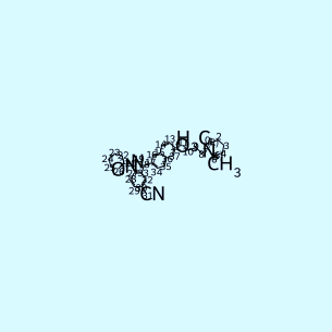 C[C@@H]1CCC[C@H](C)N1CCCOc1ccc2cc(-c3nn(C4CCCCO4)c4ccc(C#N)cc34)ccc2c1